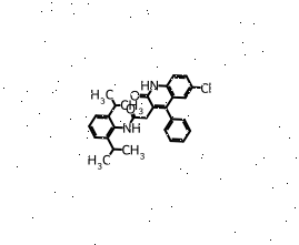 CC(C)c1cccc(C(C)C)c1NC(=O)Cc1c(-c2ccccc2)c2cc(Cl)ccc2[nH]c1=O